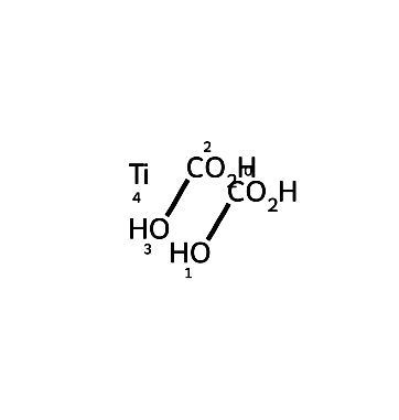 O=C(O)O.O=C(O)O.[Ti]